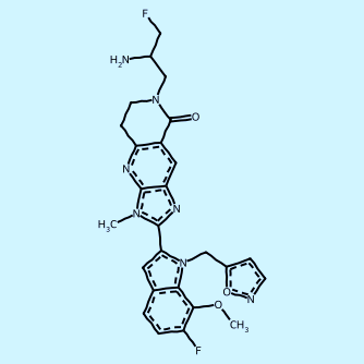 COc1c(F)ccc2cc(-c3nc4cc5c(nc4n3C)CCN(CC(N)CF)C5=O)n(Cc3ccno3)c12